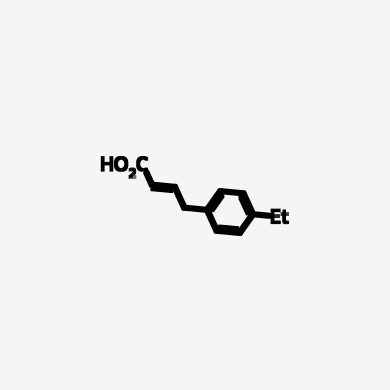 CCc1ccc(CC=CC(=O)O)cc1